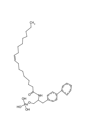 CCCCCCCC/C=C\CCCCCCCC(=O)NC(CO[PH](O)(O)O)Cc1ccc(-c2ccccc2)cc1